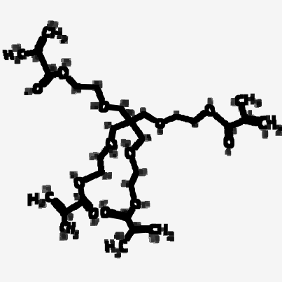 C=C(C)C(=O)OCCOCC(COCCOC(=O)C(=C)C)(COCCOC(=O)C(=C)C)COCCOC(=O)C(=C)C